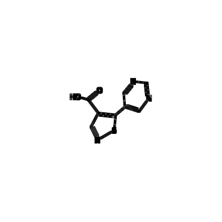 O=C(O)c1cnsc1-c1cncnc1